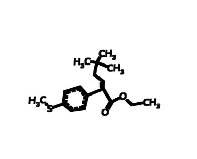 CCOC(=O)/C(=C/CC(C)(C)C)c1ccc(SC)cc1